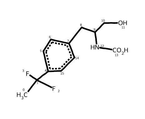 CC(F)(F)c1ccc(CC(CO)NC(=O)O)cc1